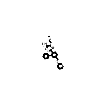 CSCC[C@H](NC(=O)c1ccc(COc2cccnc2)cc1-c1ccccc1)C(N)=O